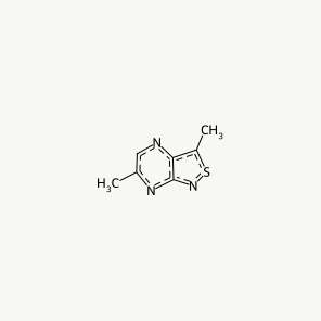 Cc1cnc2c(C)snc2n1